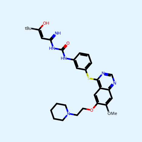 COc1cc2ncnc(Sc3cccc(NC(=O)NC(=N)/C=C(\O)C(C)(C)C)c3)c2cc1OCCN1CCCCC1